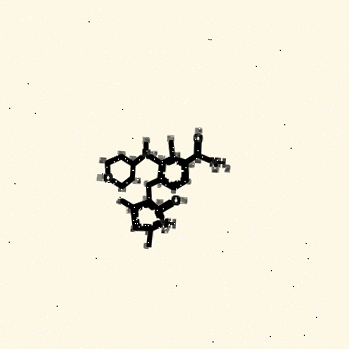 Cc1cc(C)c(Cc2ccc(C(N)=O)c(C)c2N(C)C2CCOCC2)c(=O)[nH]1